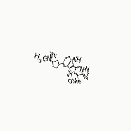 COc1cc(-c2[nH]c3ccc(C4CCC(N(C)C(C)C)C4)cc3c2C(C)C)cn2ncnc12